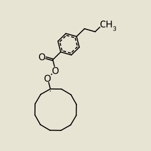 CCCc1ccc(C(=O)OO[C]2CCCCCCCCCCC2)cc1